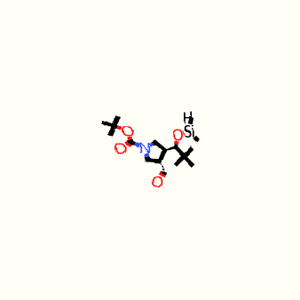 C[SiH](C)OC([C@@H]1CN(C(=O)OC(C)(C)C)C[C@H]1C=O)C(C)(C)C